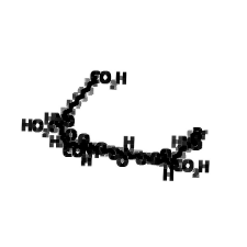 O=C(O)CCCCCCCCCCC(=O)N[C@@H](CCC(=O)N[C@@H](CCC(=O)NCCOCCOCC(=O)NCCOCCOCC(=O)N[C@@H](CCCCNC(=O)CBr)C(=O)O)C(=O)O)C(=O)O